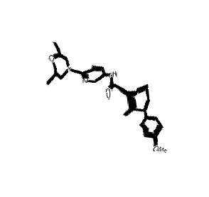 COc1ccc(-c2cccc(C(=O)Nc3ccc(N4CC(C)OC(C)C4)nc3)c2C)cc1